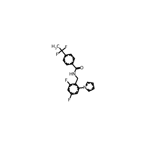 CC(F)(F)c1ccc(C(=O)NCc2c(F)cc(F)cc2-n2cccc2)cc1